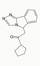 O=C(CC1c2ccccc2-c2nncn21)C1CCCC1